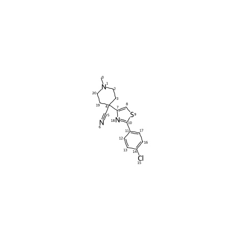 CN1CCC(C#N)(c2csc(-c3ccc(Cl)cc3)n2)CC1